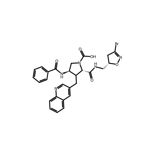 O=C(N[C@H]1CN(C(=O)O)[C@H](C(=O)NC[C@@H]2CC(Br)=NO2)C1Cc1cnc2ccccc2c1)c1ccccc1